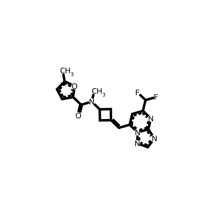 Cc1ccc(C(=O)N(C)C2CC(=Cc3cc(C(F)F)nc4ncnn34)C2)o1